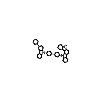 c1ccc(-c2ccc3c(c2)c2ccccc2n3-c2ccc(-c3ccc(-n4c5ccccc5c5ccc6oc7ccccc7c6c54)cc3)cc2)cc1